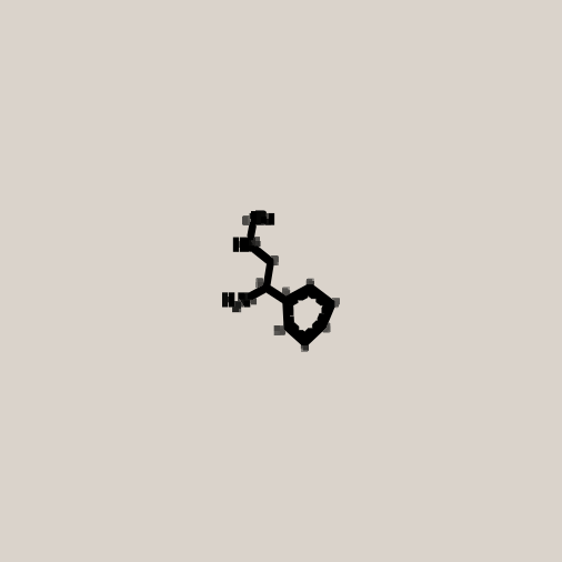 CC(C)(C)NCC(N)c1ccccc1